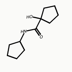 O=C(NC1CCCC1)C1(O)CCCC1